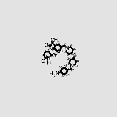 Cn1c(=O)n(C2CCC(=O)NC2=O)c2ccc(CN3CCC(OC4CCN(Cc5ccc(N)cc5)CC4)CC3)cc21